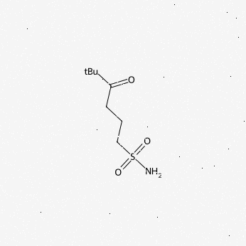 CC(C)(C)C(=O)CCCS(N)(=O)=O